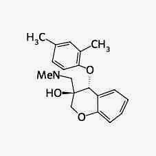 CNC[C@@]1(O)COc2ccccc2[C@H]1Oc1ccc(C)cc1C